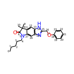 CCCCCN1C(=O)C(C)(C)c2cc3[nH]c(COc4ccccc4)nc3cc21